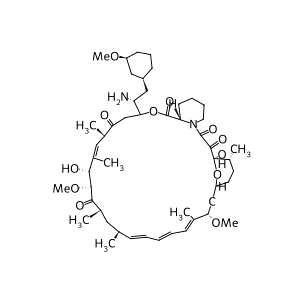 CO[C@H]1CCC[C@@H](C[C@@H](N)C2CC(=O)[C@H](C)/C=C(\C)[C@@H](O)[C@@H](OC)C(=O)[C@H](C)C[C@H](C)/C=C/C=C/C=C(\C)[C@@H](OC)C[C@@H]3CC[C@@H](C)[C@@](O)(O3)C(=O)C(=O)N3CCCC[C@H]3C(=O)O2)C1